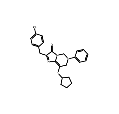 O=C1C(Cc2ccc(O)cc2)=NC2=C(SC3CCCC3)CN(c3ccccc3)CN12